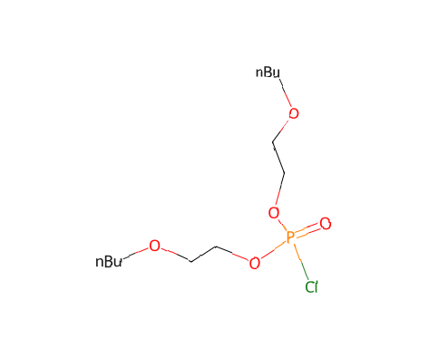 CCCCOCCOP(=O)(Cl)OCCOCCCC